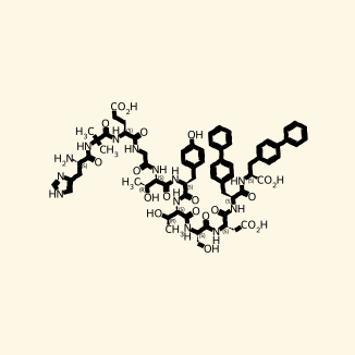 C[C@@H](O)[C@H](NC(=O)CNC(=O)[C@H](CCC(=O)O)NC(=O)C(C)(C)NC(=O)[C@@H](N)Cc1c[nH]cn1)C(=O)N[C@@H](Cc1ccc(O)cc1)C(=O)N[C@H](C(=O)N[C@@H](CO)C(=O)N[C@@H](CC(=O)O)C(=O)N[C@@H](Cc1ccc(-c2ccccc2)cc1)C(=O)N[C@@H](Cc1ccc(-c2ccccc2)cc1)C(=O)O)[C@@H](C)O